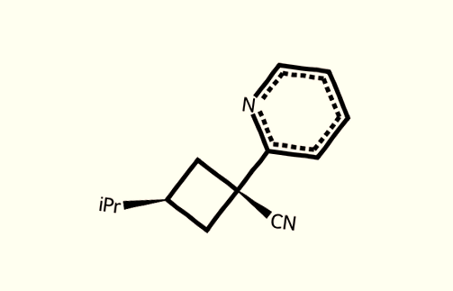 CC(C)[C@H]1C[C@](C#N)(c2ccccn2)C1